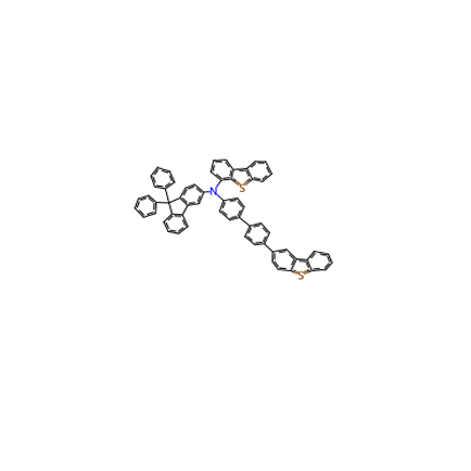 c1ccc(C2(c3ccccc3)c3ccccc3-c3cc(N(c4ccc(-c5ccc(-c6ccc7sc8ccccc8c7c6)cc5)cc4)c4cccc5c4sc4ccccc45)ccc32)cc1